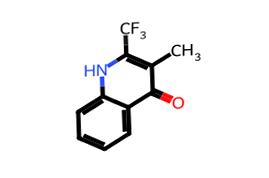 Cc1c(C(F)(F)F)[nH]c2ccccc2c1=O